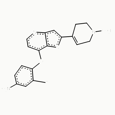 O=C(O)N1CC=C(c2cc3nccc(Oc4ccc([N+](=O)[O-])cc4F)c3s2)CC1